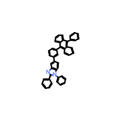 c1ccc(-c2c3ccccc3c(-c3cccc(-c4ccc5c(c4)nc(-c4ccccc4)n5-c4ccccc4)c3)c3ccccc23)cc1